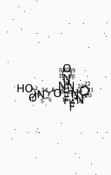 O=C(CO)N1CC[C@H](COc2cc(-n3c(C(F)F)nc4ccccc43)nc(N3CCOCC3)n2)C1